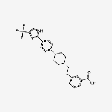 O=C(O)c1cccc(OC[C@H]2CC[C@@H](c3ccc(-c4nc(C(F)(F)F)c[nH]4)cn3)CC2)c1